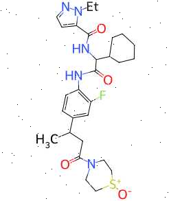 CCn1nccc1C(=O)NC(C(=O)Nc1ccc(C(C)CC(=O)N2CC[S+]([O-])CC2)cc1F)C1CCCCC1